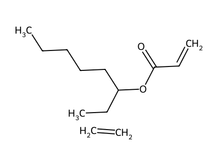 C=C.C=CC(=O)OC(CC)CCCCC